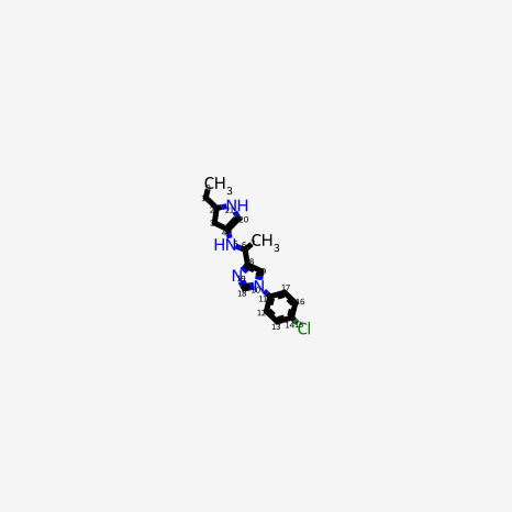 CCC1CC(NC(C)c2cn(-c3ccc(Cl)cc3)cn2)=CN1